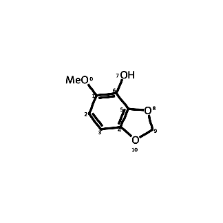 COc1ccc2c(c1O)OCO2